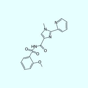 COc1ccccc1S(=O)(=O)NC(=O)c1cn(C)c(-c2ccccn2)n1